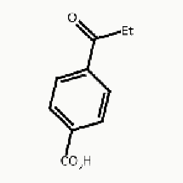 CCC(=O)c1ccc(C(=O)O)cc1